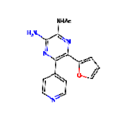 CC(=O)Nc1nc(-c2ccco2)c(-c2ccncc2)nc1N